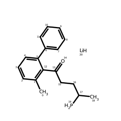 Cc1cccc(-c2ccccc2)c1C(=O)CCC(C)P.[LiH]